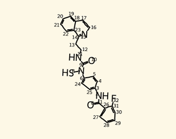 O=C(Nc1ccc(N(S)C(=O)NCCc2nccc3ccccc23)cc1)c1ccccc1F